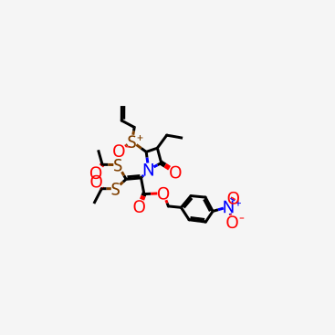 C=CC[S+]([O-])C1C(CC)C(=O)N1C(C(=O)OCc1ccc([N+](=O)[O-])cc1)=C(SC(C)=O)SC(C)=O